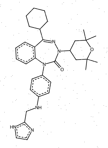 CC1(C)CC(N2N=C(C3CCCCC3)c3ccccc3N(c3ccc(NCc4ncc[nH]4)cc3)C2=O)CC(C)(C)O1